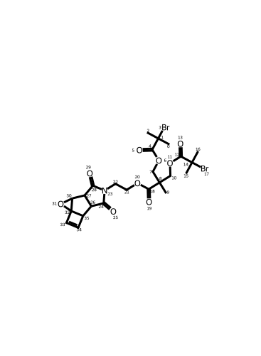 CC(C)(Br)C(=O)OCC(C)(COC(=O)C(C)(C)Br)C(=O)OCCN1C(=O)C2C(C1=O)C1OC13C=CC23